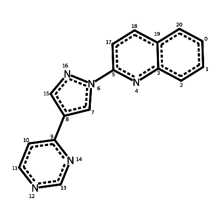 c1ccc2nc(-n3cc(-c4ccncn4)cn3)ccc2c1